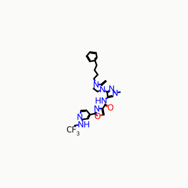 C=C1N(CCCCc2ccccc2)CCN1c1nn(C)cc1NC(=O)c1coc(-c2ccnc(NCC(F)(F)F)c2)n1